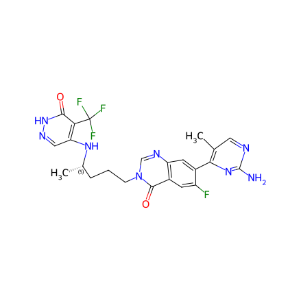 Cc1cnc(N)nc1-c1cc2ncn(CCC[C@H](C)Nc3cn[nH]c(=O)c3C(F)(F)F)c(=O)c2cc1F